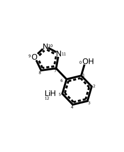 Oc1ccccc1-c1conn1.[LiH]